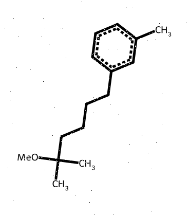 COC(C)(C)CCCCc1cccc(C)c1